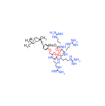 C=C[C@](C)(/C=C/c1ccc(OCC(=O)N[C@@H](CCCNC(=N)N)C(=O)NC(CCCNC(=N)N)C(=O)N[C@@H](CCCNC(=N)N)C(=O)N[C@@H](CCCNC(=N)N)C(=O)OC)cc1)CCC=C(C)C